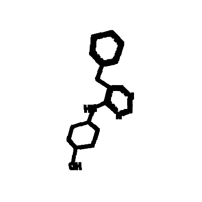 OC1CCC(Nc2ncncc2Cc2ccccc2)CC1